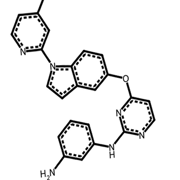 Nc1cccc(Nc2nccc(Oc3ccc4c(ccn4-c4cc(F)ccn4)c3)n2)c1